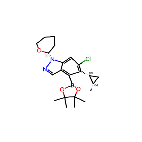 C[C@H]1C[C@H]1c1c(Cl)cc2c(cnn2[C@H]2CCCCO2)c1B1OC(C)(C)C(C)(C)O1